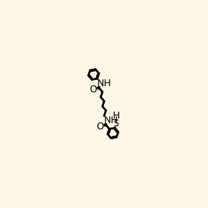 O=C(CCCCCCNC(=O)c1ccccc1S)Nc1ccccc1